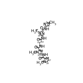 Cn1cnc(NC(=O)c2nc(NC(=O)CCNC(=O)c3nc(NC(=O)c4nccn4C)cn3C)cn2C)c1